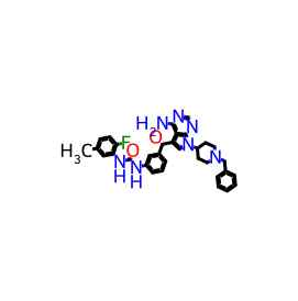 Cc1ccc(F)c(NC(=O)Nc2cccc(C(=O)c3cn(C4CCN(Cc5ccccc5)CC4)c4ncnc(N)c34)c2)c1